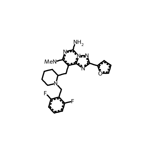 CNc1nc(N)n2nc(-c3ccco3)nc2c1CC1CCCCN1Cc1c(F)cccc1F